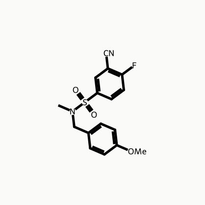 COc1ccc(CN(C)S(=O)(=O)c2ccc(F)c(C#N)c2)cc1